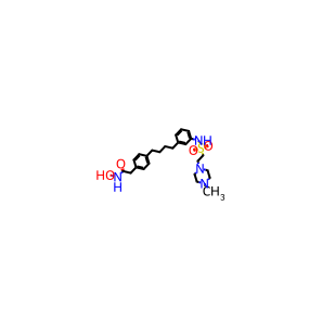 CN1CCN(CCS(=O)(=O)Nc2cccc(CCCCc3ccc(CC(=O)NO)cc3)c2)CC1